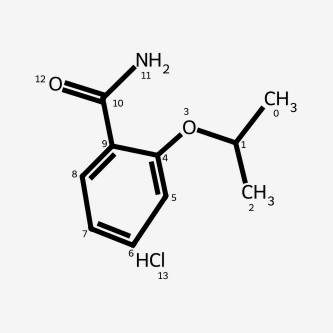 CC(C)Oc1ccccc1C(N)=O.Cl